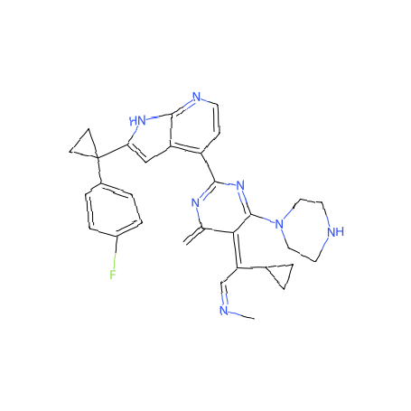 C=c1nc(-c2ccnc3[nH]c(C4(c5ccc(F)cc5)CC4)cc23)nc(N2CCNCC2)/c1=C(/C=N\C)C1CC1